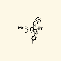 COC(=O)c1cc(N2CCC3(CCCO3)CC2)c2c(C(C)C)nn(-c3ccc(F)cc3)c2n1